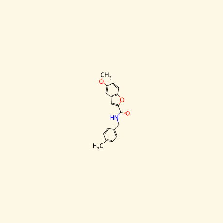 COc1ccc2oc(C(=O)NCc3ccc(C)cc3)cc2c1